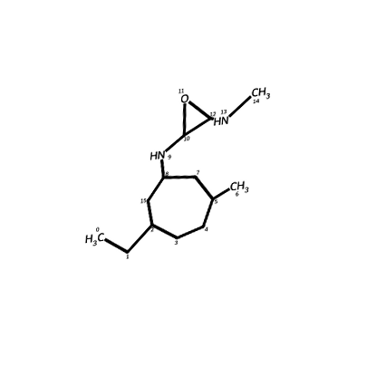 CCC1CCC(C)CC(NC2OC2NC)C1